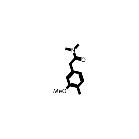 COc1cc(CC(=O)N(C)C)ccc1C